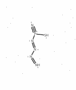 N#P(S)N=NN=N